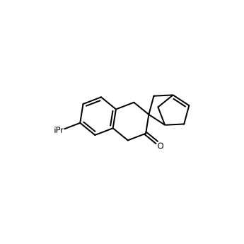 CC(C)c1ccc2c(c1)CC(=O)C1(CC3=CCC1C3)C2